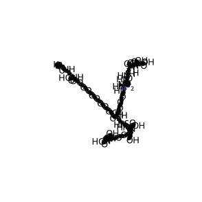 NN/C(=C\NCCOCCOCCOCCC(=O)N[C@@H](CCCCNC(=S)Nc1cc(CN(CCO)CCOCCOCCN(CCO)Cc2cccc(C(=O)O)n2)nc(C(=O)O)c1)C(=O)NCCOCCOCCOCCOCCOCCOCCOCCOCCC(=O)N[C@@H](CCCCNC(=O)Cc1ccc(I)cc1)C(=O)O)c1cccc(NC(=O)NCCCC[C@H](NC(=O)NC(CCC(=O)O)C(=O)O)C(=O)O)c1